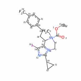 CC(C)(C)OC(=O)[N+]1(C)CCn2c(C3CC3)nc(I)c2C1CCc1ccc(C(F)(F)F)cc1